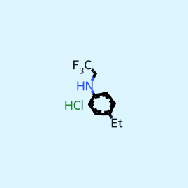 CCc1ccc(NCC(F)(F)F)cc1.Cl